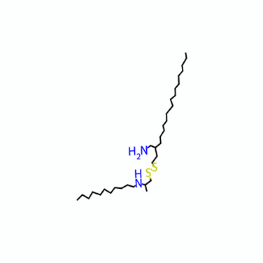 CCCCCCCCCCCCCCCCC(CN)CCSSCC(C)NCCCCCCCCCCC